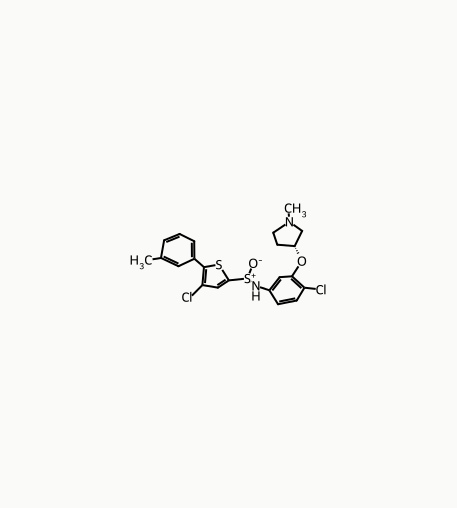 Cc1cccc(-c2sc([S+]([O-])Nc3ccc(Cl)c(O[C@@H]4CCN(C)C4)c3)cc2Cl)c1